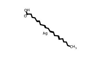 CCCCCC=CCC=CCC=CCC=CCCCC(=O)O.[Ag]